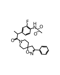 CC(C(=O)N1CCC2(CC1)CC(c1ccccc1)=NO2)c1ccc(NS(C)(=O)=O)c(F)c1